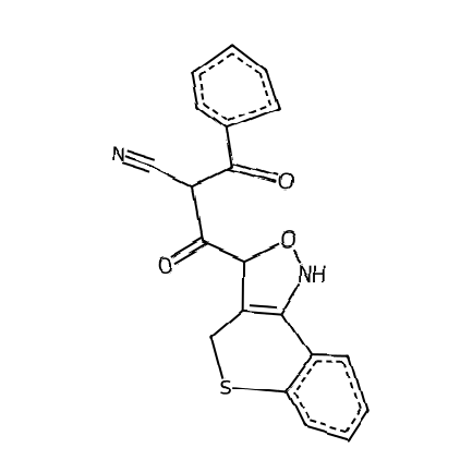 N#CC(C(=O)c1ccccc1)C(=O)C1ONC2=C1CSc1ccccc12